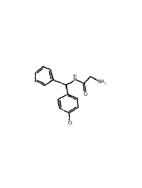 NCC(=O)NC(c1ccccc1)c1ccc(Cl)cc1